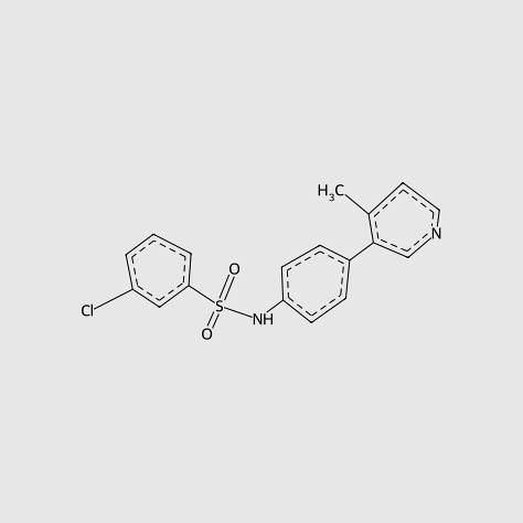 Cc1ccncc1-c1ccc(NS(=O)(=O)c2cccc(Cl)c2)cc1